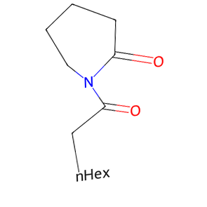 CCCCCCCC(=O)N1CCCCC1=O